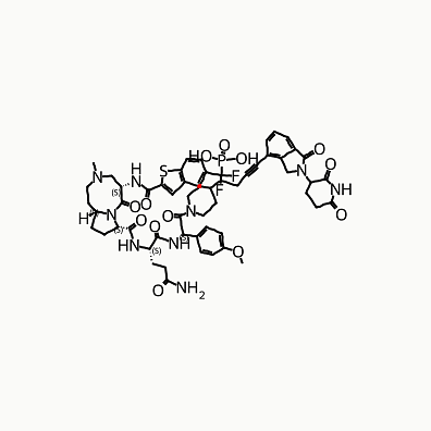 COc1ccc([C@H](NC(=O)[C@H](CCC(N)=O)NC(=O)[C@@H]2CC[C@@H]3CCN(C)C[C@H](NC(=O)c4cc5cc(C(F)(F)P(=O)(O)O)ccc5s4)C(=O)N32)C(=O)N2CCC(CCC#Cc3cccc4c3CN(C3CCC(=O)NC3=O)C4=O)CC2)cc1